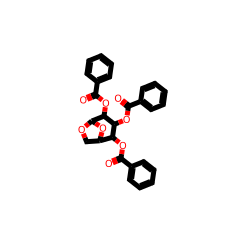 O=C(OC1C2COC(O2)C(OC(=O)c2ccccc2)C1OC(=O)c1ccccc1)c1ccccc1